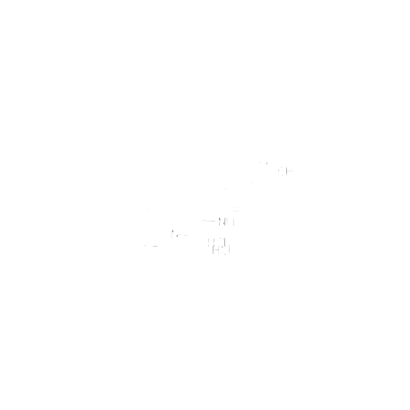 COc1ccc(NCCN2CCCCC2)cc1.Cl.Cl